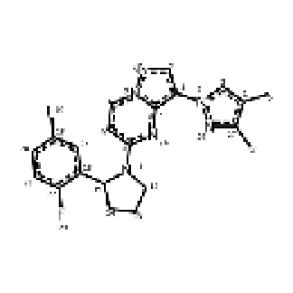 Cc1cn(-c2cnn3ccc(N4CCCC4c4cc(F)ccc4F)nc23)nc1C